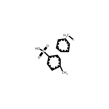 CI.Cc1ccc(S(=O)(=O)O)cc1.c1ccccc1